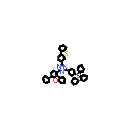 c1ccc(-c2ccc(-c3nc(-c4ccc([Si](c5ccccc5)(c5ccccc5)c5ccccc5)cc4)nc(-c4ccc5c(c4)sc4ccccc45)n3)c3c2oc2ccccc23)cc1